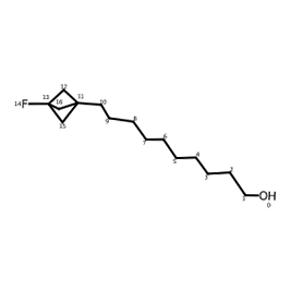 OCCCCCCCCCCC12CC(F)(C1)C2